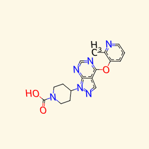 Cc1ncccc1Oc1ncnc2c1cnn2C1CCN(C(=O)O)CC1